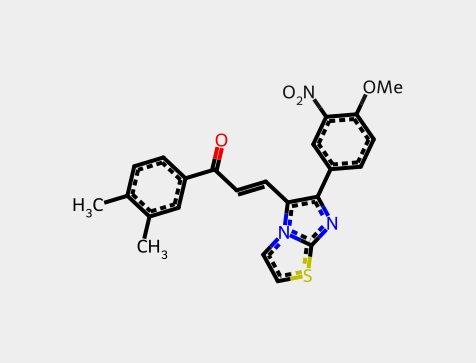 COc1ccc(-c2nc3sccn3c2C=CC(=O)c2ccc(C)c(C)c2)cc1[N+](=O)[O-]